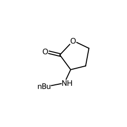 CCCCNC1CCOC1=O